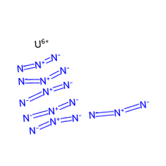 [N-]=[N+]=[N-].[N-]=[N+]=[N-].[N-]=[N+]=[N-].[N-]=[N+]=[N-].[N-]=[N+]=[N-].[N-]=[N+]=[N-].[U+6]